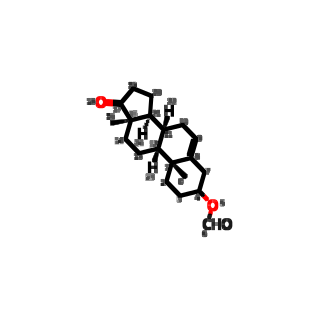 C[C@]12CCC(OC=O)CC1=CC[C@@H]1[C@H]2CC[C@]2(C)C(=O)CC[C@@H]12